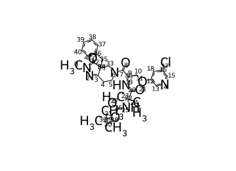 CN1N=C2CCN(C(=O)[C@@H](COc3cncc(Cl)c3)NC(=O)C(C)(C)NC(=O)OC(C)(C)C)C[C@@]2(Cc2ccccc2)C1=O